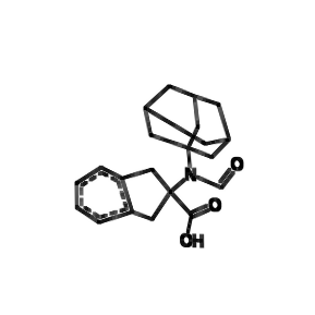 O=CN(C12CC3CC(CC(C3)C1)C2)C1(C(=O)O)Cc2ccccc2C1